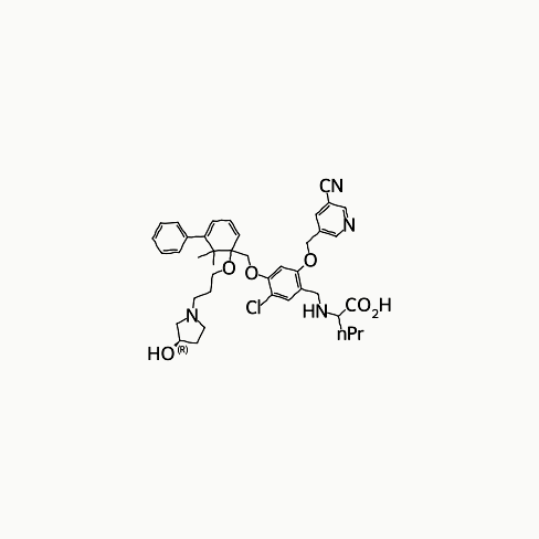 CCCC(NCc1cc(Cl)c(OCC2(OCCCN3CC[C@@H](O)C3)C=CC=C(c3ccccc3)C2(C)C)cc1OCc1cncc(C#N)c1)C(=O)O